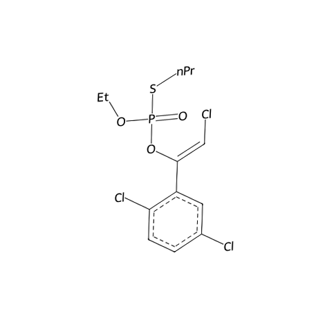 CCCSP(=O)(OCC)OC(=CCl)c1cc(Cl)ccc1Cl